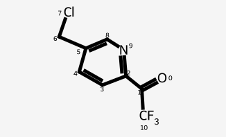 O=C(c1ccc(CCl)cn1)C(F)(F)F